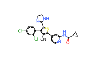 N#Cc1c(-c2ccnc(NC(=O)C3CC3)c2)sc(C2=NCCN2)c1-c1ccc(Cl)cc1Cl